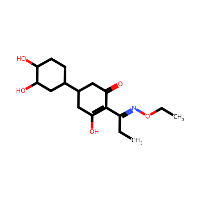 CCON=C(CC)C1=C(O)CC(C2CCC(O)C(O)C2)CC1=O